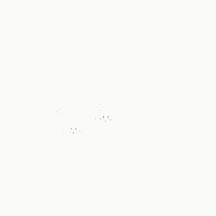 CO/C=C(/C(=O)OC)c1ccccc1Oc1cccc(Cc2ccccc2)c1